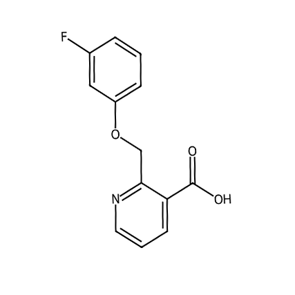 O=C(O)c1cccnc1COc1cccc(F)c1